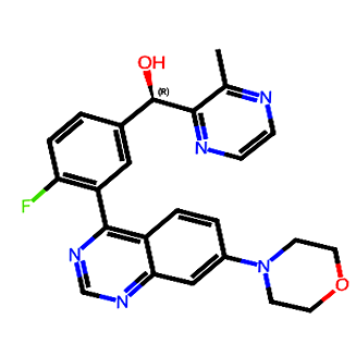 Cc1nccnc1[C@H](O)c1ccc(F)c(-c2ncnc3cc(N4CCOCC4)ccc23)c1